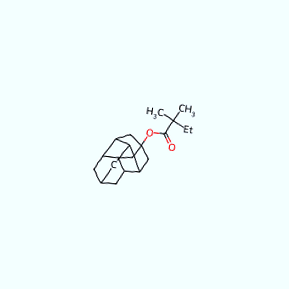 CCC(C)(C)C(=O)OC12CC3C4CC5CC3C(C1)C(C5)C4C2